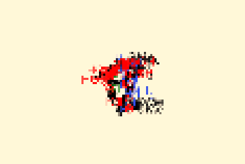 COc1cc(COC(=O)N[C@@]2(C)C[C@H](O[C@H]3[C@H](Oc4c5cc6cc4Oc4ccc(cc4Cl)[C@@H](O)[C@@H](NC(=O)[C@@H](CC(C)C)N(C)C(=O)Oc4cc(OC)c(OC)cc4[N+](=O)[O-])C(=O)N[C@@H](CC(N)=O)C(=O)N[C@H]6C(=O)N[C@H]4C(=O)N[C@H](C(=O)N[C@H](C(=O)O)c6cc(O)cc(O)c6-c6cc4ccc6O)[C@H](O)c4ccc(c(Cl)c4)O5)O[C@H](CO)[C@@H](O)[C@@H]3O)O[C@@H](C)[C@H]2O)c([N+](=O)[O-])cc1OC